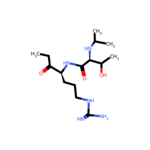 CCC(=O)[C@H](CCCNC(=N)N)NC(=O)[C@@H](NC(C)C)C(C)O